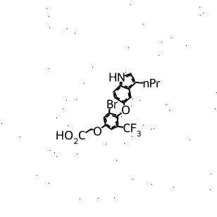 CCCc1c[nH]c2ccc(Oc3c(Br)cc(OCC(=O)O)cc3C(F)(F)F)cc12